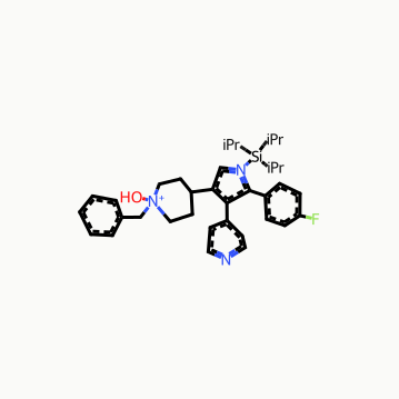 CC(C)[Si](C(C)C)(C(C)C)n1cc(C2CC[N+](O)(Cc3ccccc3)CC2)c(-c2ccncc2)c1-c1ccc(F)cc1